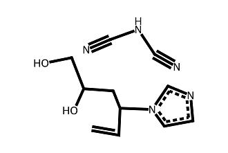 C=CC(CC(O)CO)n1ccnc1.N#CNC#N